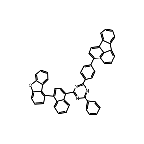 c1ccc(-c2nc(-c3ccc(-c4ccc5c6c(cccc46)-c4ccccc4-5)cc3)nc(-c3ccc(-c4cccc5oc6ccccc6c45)c4ccccc34)n2)cc1